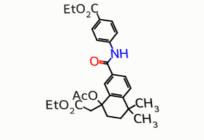 CCOC(=O)CC1(OC(C)=O)CCC(C)(C)c2ccc(C(=O)Nc3ccc(C(=O)OCC)cc3)cc21